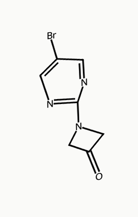 O=C1CN(c2ncc(Br)cn2)C1